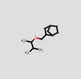 CC(C)C(C)OCC1CC2CCC1C2